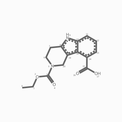 CCOC(=O)N1CCc2[nH]c3cccc(C(=O)O)c3c2C1